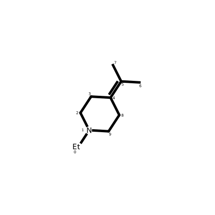 CCN1CCC(=C(C)C)CC1